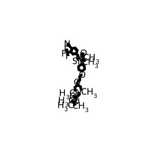 C[C@@H]1CC(OCCO[C@H]2CC[C@H](N3C(=S)N(c4ccc(C#N)c(C(F)(F)F)c4)C(=O)C3(C)C)CC2)C[C@H](C)N1CC(=O)OC(C)(C)C